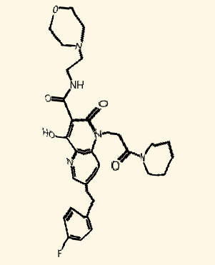 O=C(NCCN1CCOCC1)c1c(O)c2ncc(Cc3ccc(F)cc3)cc2n(CC(=O)N2CCCCC2)c1=O